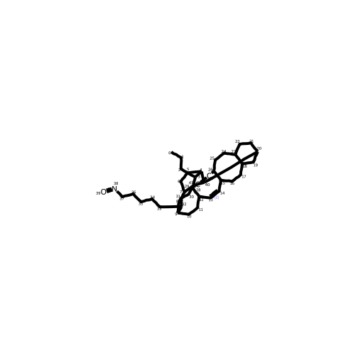 CCCC1C2CCC3CC4CCC5/C=C\C6CCC7CC(CCC7CCC6CCC5CCC4CCCCCN=O)C2C31